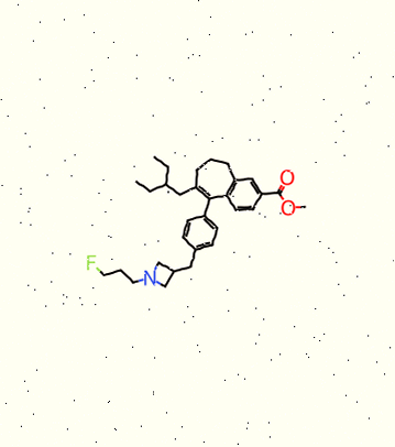 CCC(CC)CC1=C(c2ccc(CC3CN(CCCF)C3)cc2)c2ccc(C(=O)OC)cc2CCC1